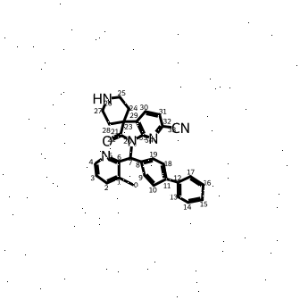 Cc1cccnc1C(c1ccc(-c2ccccc2)cc1)N1C(=O)C2(CCNCC2)c2ccc(C#N)nc21